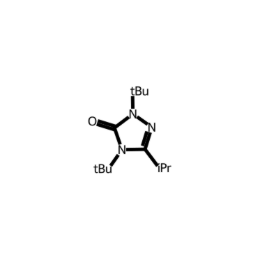 CC(C)c1nn(C(C)(C)C)c(=O)n1C(C)(C)C